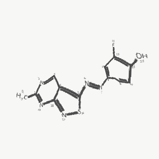 Cc1ncc2c(/N=N/c3ccc(O)c(F)c3)snc2n1